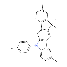 Cc1ccc(-n2c3ccc(C)cc3c3cc4c(cc32)-c2ccc(C)cc2C4(C)C)cc1